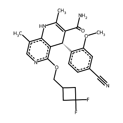 COc1cc(C#N)ccc1[C@H]1C(C(N)=O)=C(C)Nc2c(C)cnc(OCC3CC(F)(F)C3)c21